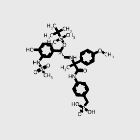 COc1ccc(C(C)(NC[C@@H](O[Si](C)(C)C(C)(C)C)c2ccc(O)c(NS(C)(=O)=O)c2)C(=O)Nc2ccc(CP(=O)(O)O)cc2)cc1